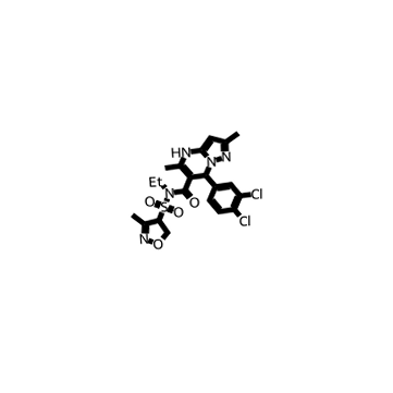 CCN(C(=O)C1=C(C)Nc2cc(C)nn2C1c1ccc(Cl)c(Cl)c1)S(=O)(=O)C1CON=C1C